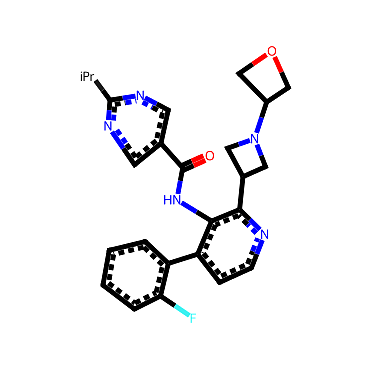 CC(C)c1ncc(C(=O)Nc2c(-c3ccccc3F)ccnc2C2CN(C3COC3)C2)cn1